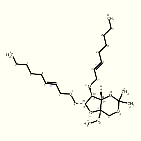 CCCCC/C=C/COC[C@H]1O[C@@]2(OC)COC(C)(C)O[C@H]2[C@@H]1OC/C=C/CCCCC